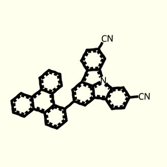 N#Cc1ccc2c3cc(-c4cccc5c6ccccc6c6ccccc6c45)cc4c5ccc(C#N)cc5n(c2c1)c34